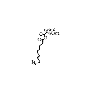 CCCCCCCCC(CCCCCC)C(=O)OC(=O)CCCCCCCBr